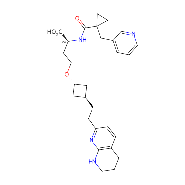 O=C(O)[C@H](CCO[C@H]1C[C@H](CCc2ccc3c(n2)NCCC3)C1)NC(=O)C1(Cc2cccnc2)CC1